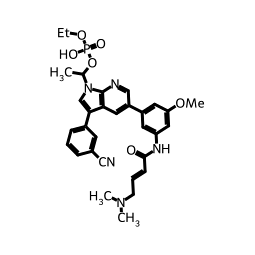 CCOP(=O)(O)OC(C)n1cc(-c2cccc(C#N)c2)c2cc(-c3cc(NC(=O)C=CCN(C)C)cc(OC)c3)cnc21